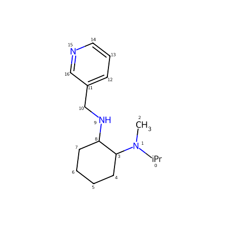 CC(C)N(C)C1CCCCC1NCc1cccnc1